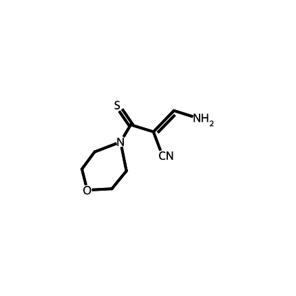 N#C/C(=C\N)C(=S)N1CCOCC1